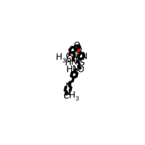 Cc1ccc2c(c1N1C(=O)Nc3c(C(=O)Nc4ccc(CCN5CCN(C)CC5)cc4)sc4ncc(C#N)c1c34)OCO2